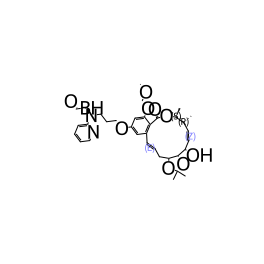 COCOc1cc(OCCCN(BC=O)c2ccccn2)cc2c1C(=O)O[C@@H](C)[C@H](C)/C=C\C(O)C1OC(C)(C)OC1C/C=C/2